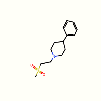 CS(=O)(=O)CCN1CCC(c2ccccc2)CC1